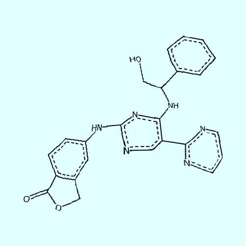 O=C1OCc2cc(Nc3ncc(-c4ncccn4)c(NC(CO)c4ccccc4)n3)ccc21